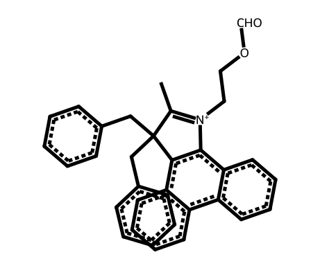 CC1=[N+](CCOC=O)c2c(c3ccccc3c3ccccc23)C1(Cc1ccccc1)Cc1ccccc1